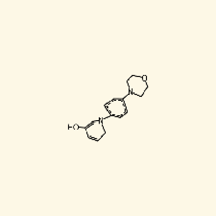 OC1=CN(c2ccc(N3CCOCC3)cc2)CC=C1